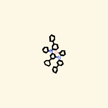 c1ccc(-c2cccc(N3c4ccccc4B4c5ccc(-c6ccccc6)cc5N(c5ccccc5)c5cc(C6CCCCC6)cc3c54)c2)cc1